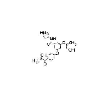 C[C@@H](CO)Oc1cc(Oc2ccc(C(=O)N(C)C)cc2)cc(C(=O)Nc2cc[nH]n2)c1